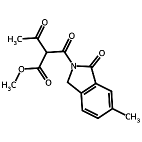 COC(=O)C(C(C)=O)C(=O)N1Cc2ccc(C)cc2C1=O